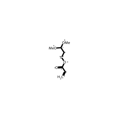 C=CC(=O)[O][Ti][CH2]C(OC)OC